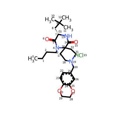 CCCCN1C(=O)[C@H](CC(C)(C)C)NC(=O)C12CCN(Cc1ccc3c(c1)OCCO3)CC2.Cl